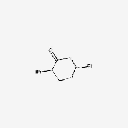 CCC1CCC(C(C)C)C(=O)C1